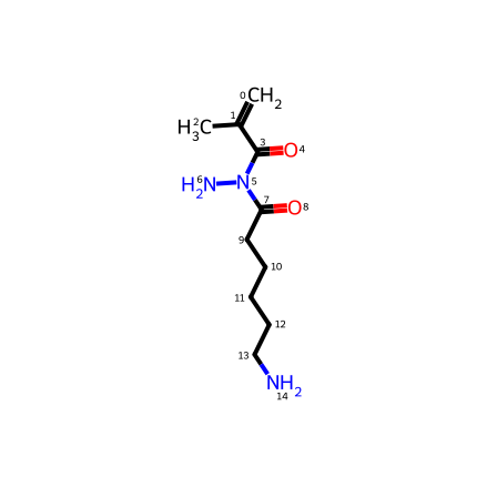 C=C(C)C(=O)N(N)C(=O)CCCCCN